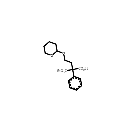 CCOC(=O)C(CCOC1CCCCO1)(C(=O)OCC)c1ccccc1